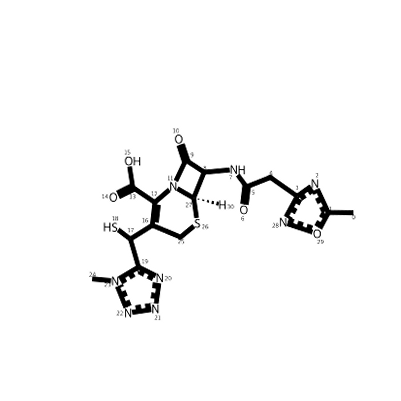 Cc1nc(CC(=O)NC2C(=O)N3C(C(=O)O)=C(C(S)c4nnnn4C)CS[C@H]23)no1